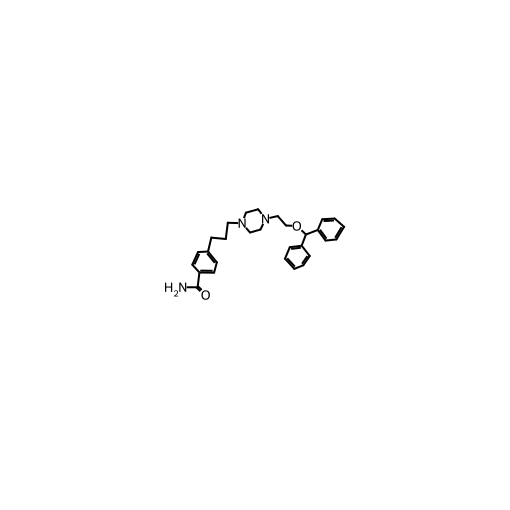 NC(=O)c1ccc(CCCN2CCN(CCOC(c3ccccc3)c3ccccc3)CC2)cc1